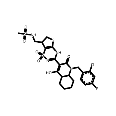 CS(=O)(=O)NCC1CSC2=C1S(=O)(=O)N=C(C1=C(O)C3CCCCC3N(Cc3ccc(F)cc3Cl)C1=O)N2